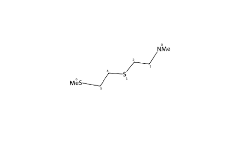 CNCCSCCSC